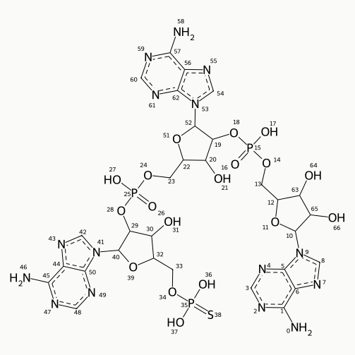 Nc1ncnc2c1ncn2C1OC(COP(=O)(O)OC2C(O)C(COP(=O)(O)OC3C(O)C(COP(O)(O)=S)OC3n3cnc4c(N)ncnc43)OC2n2cnc3c(N)ncnc32)C(O)C1O